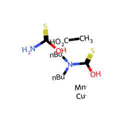 CC(=O)O.CCCCN(CCCC)C(O)=S.NC(O)=S.[Cu].[Mn]